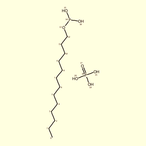 CCCCCCCCCCCCCOP(O)O.O=P(O)(O)O